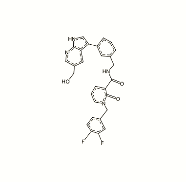 O=C(NCc1cccc(-c2c[nH]c3ncc(CO)cc23)c1)c1cccn(Cc2ccc(F)c(F)c2)c1=O